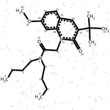 CCCCN(CCCC)C(=O)Cn1c(=O)c(C(C)(C)C)cc2ccc(OC)cc21